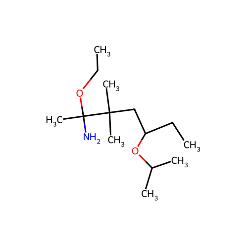 CCOC(C)(N)C(C)(C)CC(CC)OC(C)C